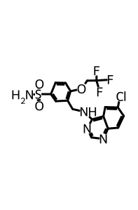 NS(=O)(=O)c1ccc(OCC(F)(F)F)c(CNc2ncnc3ccc(Cl)cc23)c1